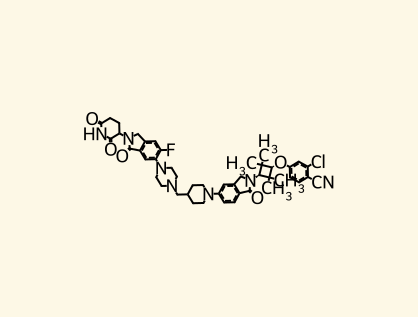 CC1(C)[C@H](Oc2ccc(C#N)c(Cl)c2)C(C)(C)[C@H]1N1Cc2cc(N3CCC(CN4CCN(c5cc6c(cc5F)CN(C5CCC(=O)NC5=O)C6=O)CC4)CC3)ccc2C1=O